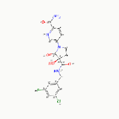 NC(=O)c1ccc(N2CC[C@](O)(C(=O)NCc3cc(F)cc(Cl)c3)C2=O)cn1